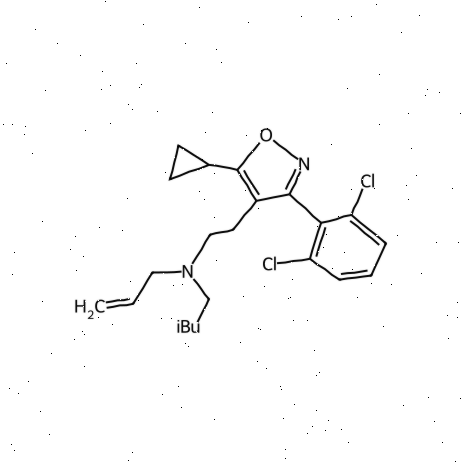 C=CCN(CCc1c(-c2c(Cl)cccc2Cl)noc1C1CC1)CC(C)CC